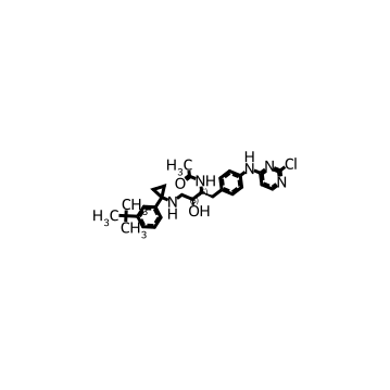 CC(=O)N[C@@H](Cc1ccc(Nc2ccnc(Cl)n2)cc1)[C@@H](O)CNC1(c2cccc(C(C)(C)C)c2)CC1